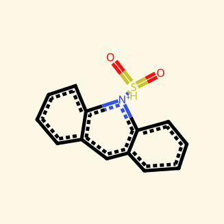 O=[SH](=O)[n+]1c2ccccc2cc2ccccc21